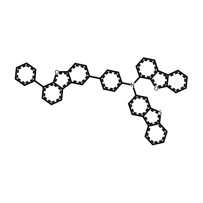 c1ccc(-c2cccc3c2oc2ccc(-c4ccc(N(c5ccc6c(c5)sc5ccccc56)c5cccc6c5oc5ccccc56)cc4)cc23)cc1